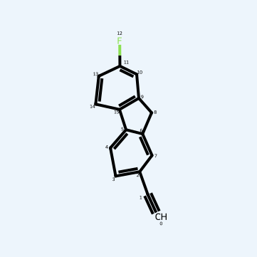 C#Cc1ccc2c(c1)Cc1cc(F)ccc1-2